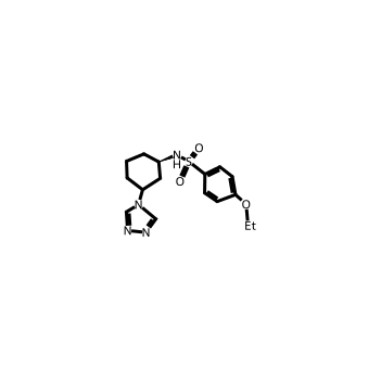 CCOc1ccc(S(=O)(=O)N[C@@H]2CCCC(n3cnnc3)C2)cc1